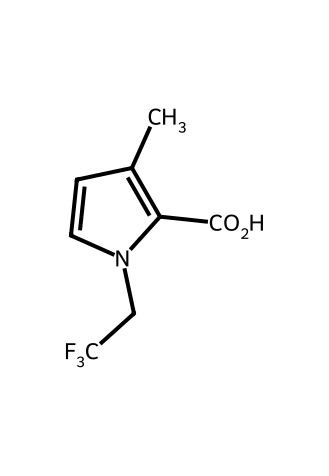 Cc1ccn(CC(F)(F)F)c1C(=O)O